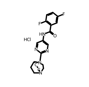 Cl.O=C(Nc1cnc(N2CCN3CCC2CC3)nc1)c1cc(F)ccc1F